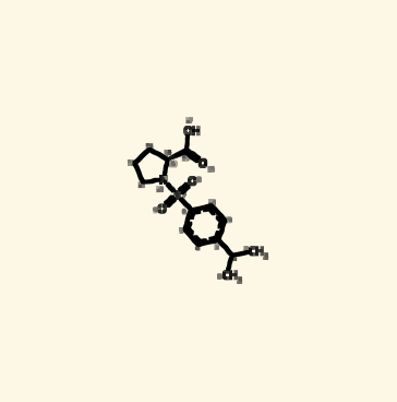 CC(C)c1ccc(S(=O)(=O)N2CCC[C@H]2C(=O)O)cc1